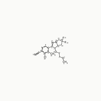 COCCOC1C(c2ccc(C#N)c(Cl)c2C)=NN2CC(F)(F)CC12